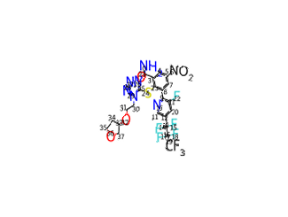 NC(=O)c1cc([N+](=O)[O-])cc(-c2ncc(C(F)(F)C(F)(F)C(F)(F)F)cc2F)c1Sc1nnnn1CCOC1CCOC1